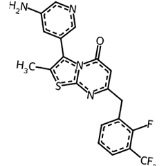 Cc1sc2nc(Cc3cccc(C(F)(F)F)c3F)cc(=O)n2c1-c1cncc(N)c1